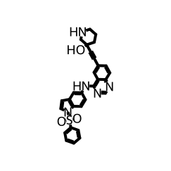 O=S(=O)(c1ccccc1)n1ccc2cc(Nc3ncnc4ccc(C#CC5(O)CCCNC5)cc34)ccc21